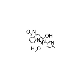 Cc1ccc(N2[N]N3C(=C2O)C=C([N+](=O)[O-])c2ccccc23)cn1.O